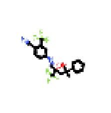 CC(C)(CC(O)(/C=N/c1ccc(C#N)c(C(F)(F)F)c1)C(F)(F)F)c1ccccc1